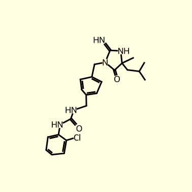 CC(C)CC1(C)NC(=N)N(Cc2ccc(CNC(=O)Nc3ccccc3Cl)cc2)C1=O